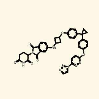 O=C1CCC(N2C(=O)c3ccc(NC4CC(Oc5ccc(C6(c7ccc(Oc8ccc(-n9ccnn9)nn8)cc7)CC6)cc5)C4)cc3C2=O)C(=O)N1